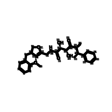 COc1ccccc1CC1COC(CNC(=O)[C@H](O)[C@@H](O)C(=O)N(C)[C@H](C)c2ccccc2)=N1